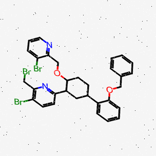 BrCc1nc(C2CC(c3ccccc3OCc3ccccc3)CCC2OCc2ncccc2Br)ccc1Br